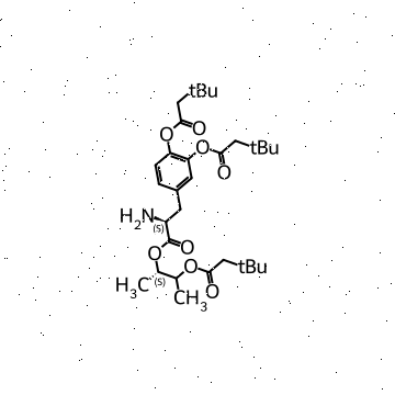 CC(OC(=O)CC(C)(C)C)[C@H](C)OC(=O)[C@@H](N)Cc1ccc(OC(=O)CC(C)(C)C)c(OC(=O)CC(C)(C)C)c1